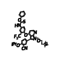 CC(C)Oc1ccc(-c2cn(COCC[Si](C)(C)C)c3nccc(Oc4ccc(NC(=S)Oc5ccccc5)cc4C(F)(F)F)c23)cc1C#N